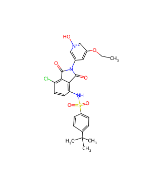 CCOc1cc(N2C(=O)c3c(Cl)ccc(NS(=O)(=O)c4ccc(C(C)(C)C)cc4)c3C2=O)c[n+](O)c1